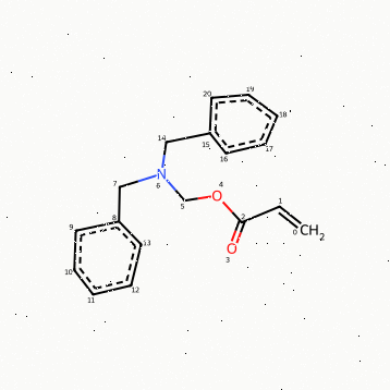 C=CC(=O)OCN(Cc1ccccc1)Cc1ccccc1